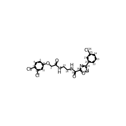 O=C(COc1ccc(Cl)c(Cl)c1)NCCNC(=O)c1nc(-c2cccc(Cl)c2)no1